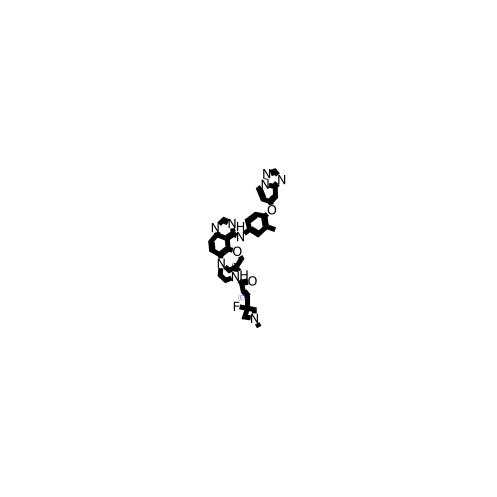 Cc1cc(Nc2ncnc3ccc4c(c23)OC[C@H]2CN4CCN2C(=O)/C=C/C2(F)CN(C)C2)ccc1Oc1ccn2ncnc2c1